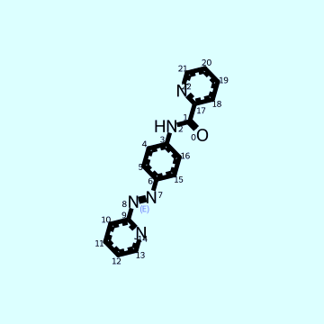 O=C(Nc1ccc(/N=N/c2ccccn2)cc1)c1ccccn1